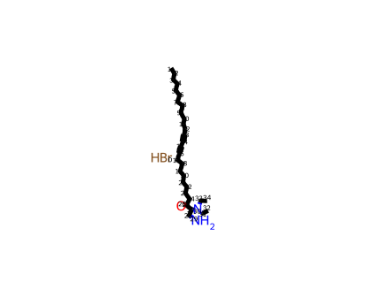 Br.CCCCCCCCCCCCC#CC#CCCCCCCCCC(=O)C(CN)N(CC)CC